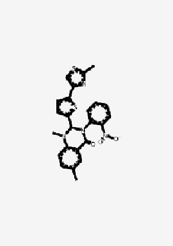 Cc1ccc2c(c1)C(=O)N(c1ccccc1[N+](=O)[O-])C(c1ccc(-c3csc(C)n3)s1)N2C